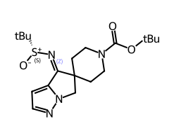 CC(C)(C)OC(=O)N1CCC2(CC1)Cn1nccc1/C2=N\[S@+]([O-])C(C)(C)C